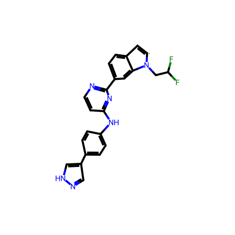 FC(F)Cn1[c]cc2ccc(-c3nccc(Nc4ccc(-c5cn[nH]c5)cc4)n3)cc21